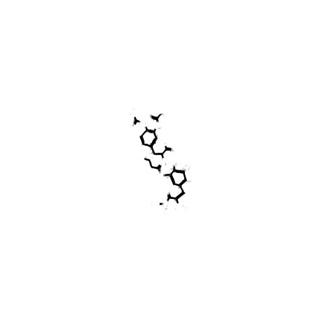 CCN(CC)C(=O)C(C#N)=Cc1cc(OC(CCC(=O)O)=NC(Cc2ccc(OC(=O)C(C)(C)C)c(OC(=O)C(C)(C)C)c2)C(=O)OC)c(O)c([N+](=O)[O-])c1